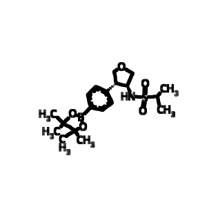 CC(C)S(=O)(=O)N[C@@H]1COC[C@H]1c1ccc(B2OC(C)(C)C(C)(C)O2)cc1